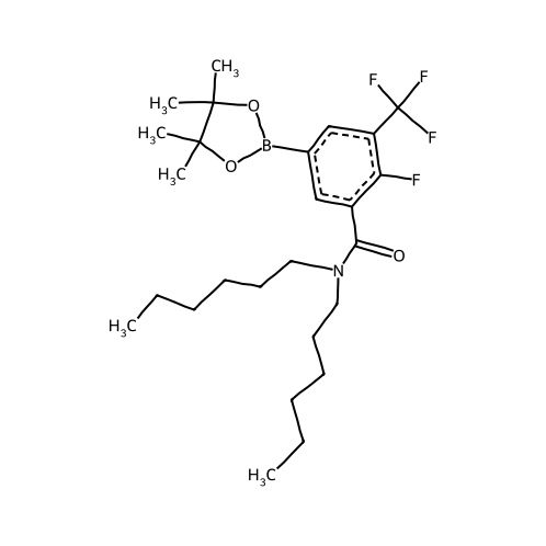 CCCCCCN(CCCCCC)C(=O)c1cc(B2OC(C)(C)C(C)(C)O2)cc(C(F)(F)F)c1F